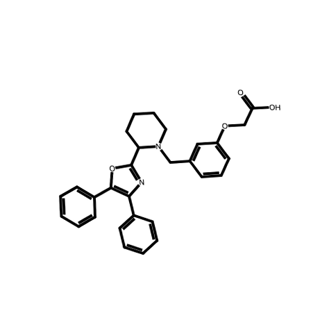 O=C(O)COc1cccc(CN2CCCCC2c2nc(-c3ccccc3)c(-c3ccccc3)o2)c1